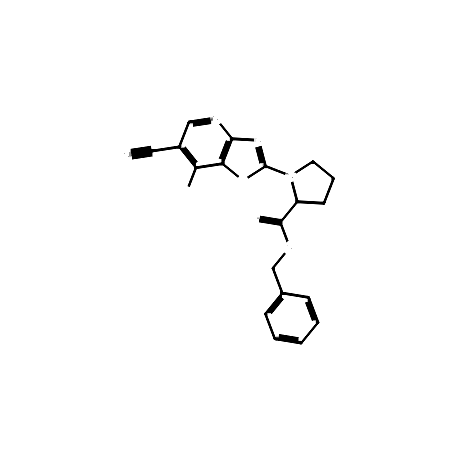 Cc1c(C#N)cnc2nc(N3CCCC3C(=O)NCc3ccccc3)sc12